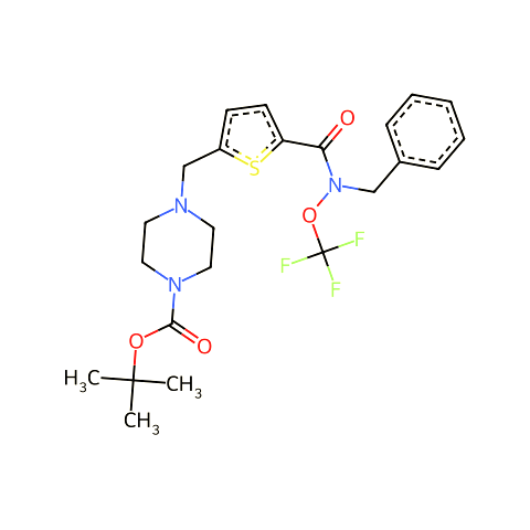 CC(C)(C)OC(=O)N1CCN(Cc2ccc(C(=O)N(Cc3ccccc3)OC(F)(F)F)s2)CC1